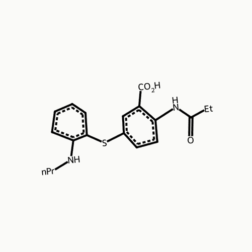 CCCNc1ccccc1Sc1ccc(NC(=O)CC)c(C(=O)O)c1